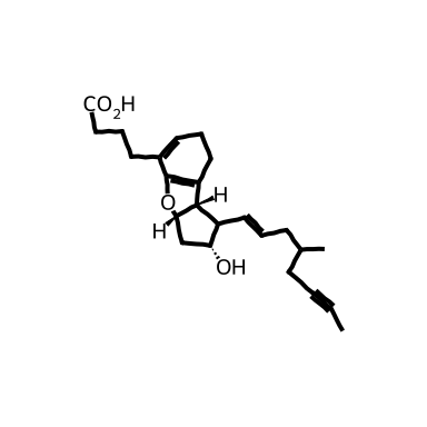 CC#CCC(C)C/C=C/C1[C@H](O)C[C@@H]2OC3=C(CCC=C3CCCC(=O)O)[C@H]12